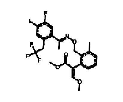 CO/C=C(/C(=O)OC)c1cccc(C)c1CO/N=C(\C)c1cc(F)c(I)cc1CC(F)(F)F